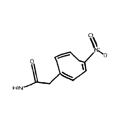 [NH]C(=O)Cc1ccc([N+](=O)[O-])cc1